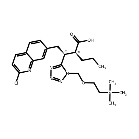 CCC[C@H](C(=O)O)[C@H](Cc1ccc2ccc(Cl)nc2c1)c1nnnn1COCC[Si](C)(C)C